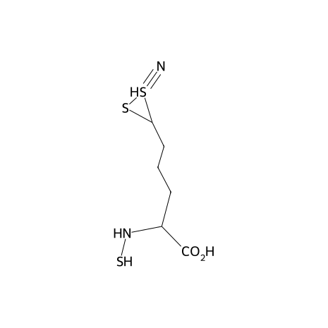 N#[SH]1SC1CCCC(NS)C(=O)O